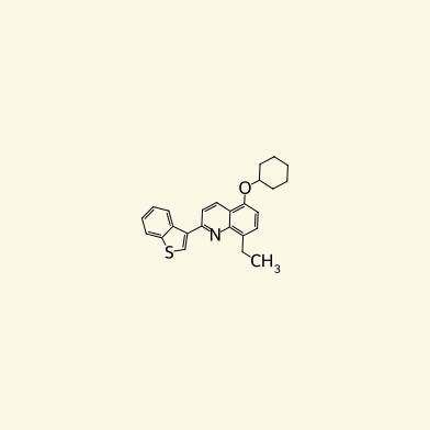 CCc1ccc(OC2CCCCC2)c2ccc(-c3csc4ccccc34)nc12